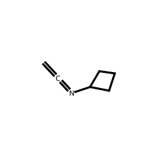 C=C=NC1CCC1